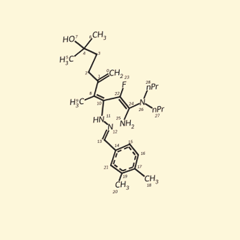 C=C(CCC(C)(C)O)/C(C)=C(N/N=C/c1ccc(C)c(C)c1)\C(F)=C(/N)N(CCC)CCC